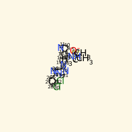 CC(C)(C)[S@@+]([O-])N[C@@H]1c2cccnc2CC12CCN(c1nccn3c(-c4cccc(Cl)c4Cl)ncc13)CC2